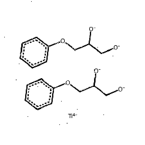 [O-]CC([O-])COc1ccccc1.[O-]CC([O-])COc1ccccc1.[Ti+4]